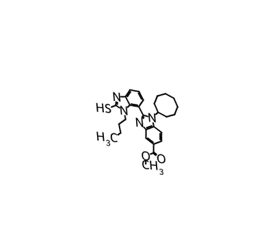 CCCCn1c(S)nc2cccc(-c3nc4cc(C(=O)OC)ccc4n3C3CCCCCCC3)c21